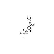 O=C(OCc1ccccc1)c1ccc(N2CCC(NCl)C2=O)c(F)c1